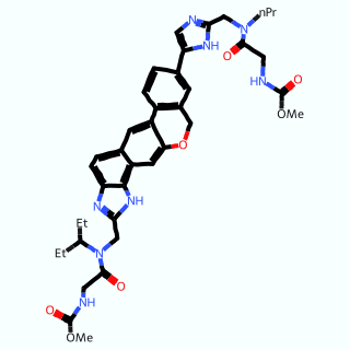 CCCN(Cc1ncc(-c2ccc3c(c2)COc2cc4c(ccc5nc(CN(C(=O)CNC(=O)OC)C(CC)CC)[nH]c54)cc2-3)[nH]1)C(=O)CNC(=O)OC